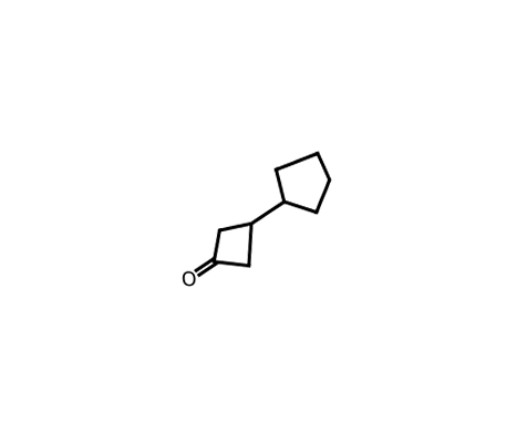 O=C1CC(C2CCCC2)C1